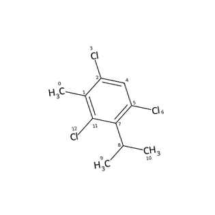 Cc1c(Cl)cc(Cl)c(C(C)C)c1Cl